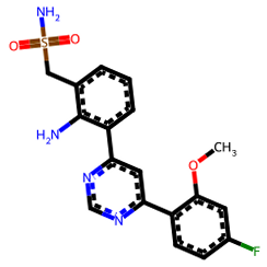 COc1cc(F)ccc1-c1cc(-c2cccc(CS(N)(=O)=O)c2N)ncn1